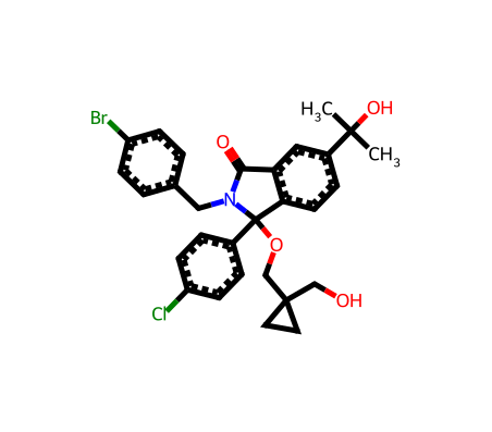 CC(C)(O)c1ccc2c(c1)C(=O)N(Cc1ccc(Br)cc1)C2(OCC1(CO)CC1)c1ccc(Cl)cc1